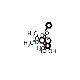 CCOC1(OCC)CCC2(c3cc(O)c(O)cc3CCN2C(=O)OCc2ccccc2)C(C(=O)O)C1